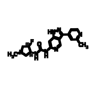 Cc1cc(-c2n[nH]c3cc(NC(=O)N[C@@H]4CN(C)C[C@H]4F)ncc23)ccn1